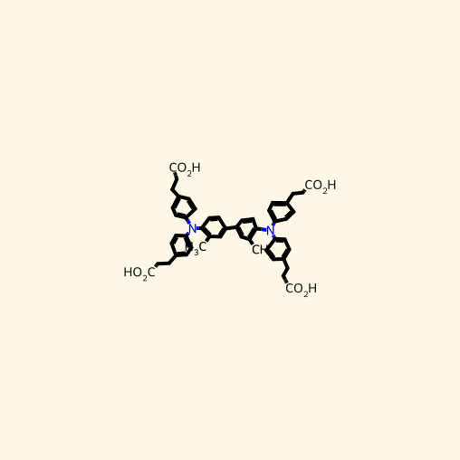 Cc1cc(-c2ccc(N(c3ccc(CCC(=O)O)cc3)c3ccc(CCC(=O)O)cc3)c(C)c2)ccc1N(c1ccc(CCC(=O)O)cc1)c1ccc(CCC(=O)O)cc1